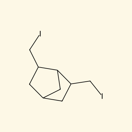 ICC1CC2CC(CI)C1C2